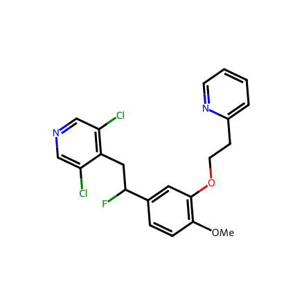 COc1ccc(C(F)Cc2c(Cl)cncc2Cl)cc1OCCc1ccccn1